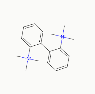 C[N+](C)(C)c1ccccc1-c1ccccc1[N+](C)(C)C